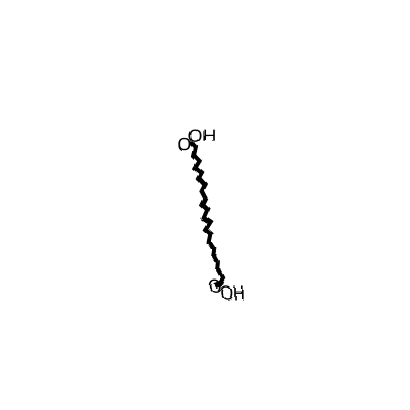 O=C(O)CCCCCCCCC=CCC=CCCCCCCCCC(=O)O